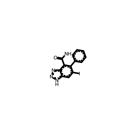 NC(=O)c1c(-c2ccccc2)c(I)cc2[nH]nnc12